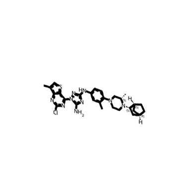 Cc1cc(Nc2nc(N)n(-c3nc(Cl)nc4c(C)csc34)n2)ccc1N1CCN([C@H]2C[C@@H]3CC[C@H]2C3)[C@@H](C)C1